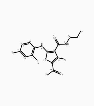 CCONC(=O)c1c(Nc2ccc(C)cc2F)sc(C(C)=O)c1C